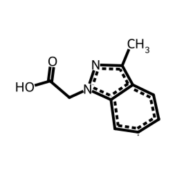 Cc1nn(CC(=O)O)c2c[c]ccc12